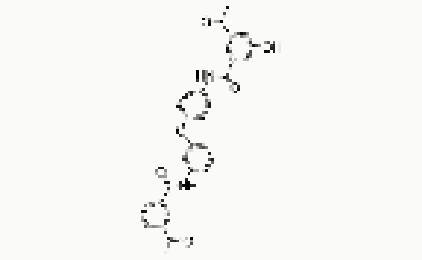 CC(=O)c1cccc(C(=O)Nc2cccc(Oc3ccc(NC(=O)c4cc(O)cc(C(C)=O)c4)cc3)c2)c1